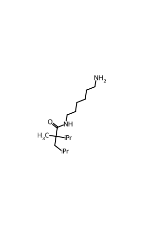 CC(C)CC(C)(C(=O)NCCCCCCN)C(C)C